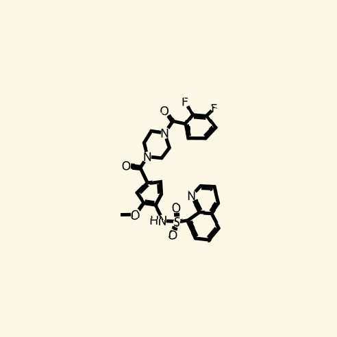 COc1cc(C(=O)N2CCN(C(=O)c3cccc(F)c3F)CC2)ccc1NS(=O)(=O)c1cccc2cccnc12